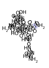 C=C(/C=C(C(=O)N1c2ccccc2C[C@H]1C1OCCN1C(=O)OCc1ccc(SSC[C@H](NC(=O)[C@H](CC=O)NC(=O)[C@H](CC(=O)O)NC(=O)[C@H](CCCNC(=N)N)NC(=O)[C@H](CC(=O)O)NC(=O)CC[C@H](NC(=O)c2ccc(NCc3cnc4nc(N)[nH]c(=O)c4n3)cc2)C(=O)O)C(=O)O)cc1)\C(N)=C/COC)OC